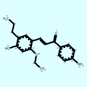 CCCc1cc(/C=C/C(=O)c2ccc(N)cc2)c(OCC)cc1O